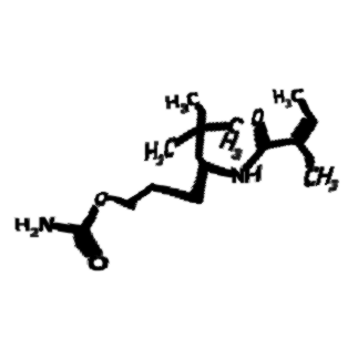 CC=C(C)C(=O)NC(CCCOC(N)=O)C(C)(C)C